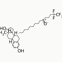 C[C@]12CC[C@H]3c4ccc(O)cc4C[C@@H](CCCCCCCCC[S+]([O-])CCCC(F)(F)C(F)(F)F)[C@H]3[C@H]1CC[C@@H]2O